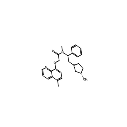 Cc1ccc(OCC(=O)N(C)C(CN2CC[C@H](O)C2)c2ccccc2)c2ncccc12